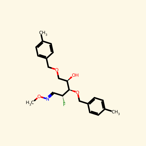 CON=C[C@@H](F)[C@H](OCc1ccc(C)cc1)[C@H](O)COCc1ccc(C)cc1